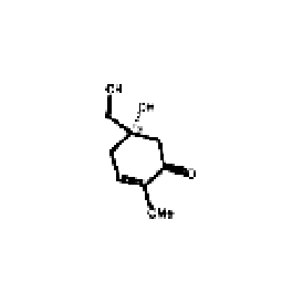 COC1=CC[C@@](O)(CO)CC1=O